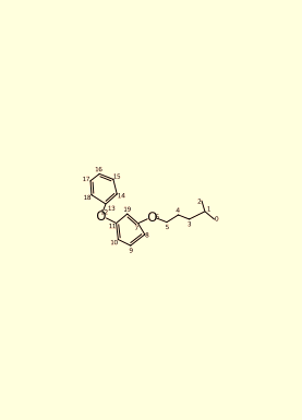 CC(C)CCCOc1cccc(Oc2ccccc2)c1